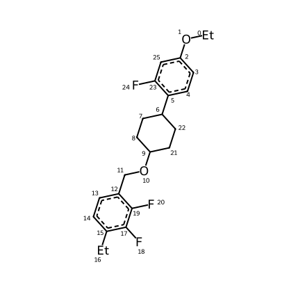 CCOc1ccc(C2CCC(OCc3ccc(CC)c(F)c3F)CC2)c(F)c1